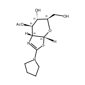 CC(=O)O[C@H]1[C@H](O)[C@@H](CO)O[C@@H]2SC(N3CCCC3)=N[C@H]12